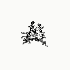 CC[C@H](C)[C@@H]([C@@H](CC(=O)N1CCC[C@H]1[C@H](OC)[C@@H](C)C(=O)N[C@H](C)[C@@H](O)c1ccccc1)OC)N(C)C(=O)[C@@H](NC(=O)[C@H](C(C)C)N(C)C(=O)OCc1ccc(NC(=O)[C@H](CCCNC(N)=O)NC(=O)[C@@H](NC(=O)CNC(=O)CNC(=O)CN)C(C)C)cc1)C(C)C